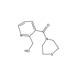 O=C(c1cccnc1CO)N1CCSCC1